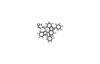 C/C=C\C=C(/c1cn(-c2ccccc2)c2ccccc12)c1cccc2c1c1ccccc1n2-c1ccccc1